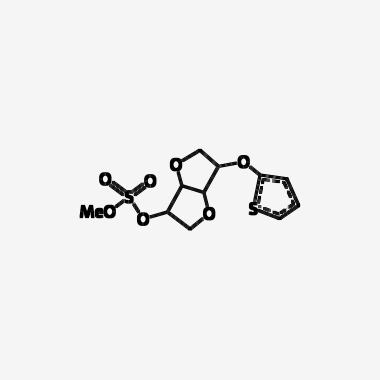 COS(=O)(=O)OC1COC2C(Oc3cccs3)COC12